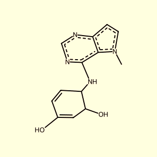 Cn1ccc2ncnc(NC3C=CC(O)=CC3O)c21